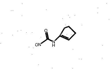 O=NC(=O)NC1=CCCC1